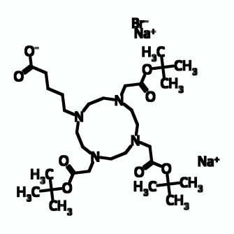 CC(C)(C)OC(=O)CN1CCN(CCCCC(=O)[O-])CCN(CC(=O)OC(C)(C)C)CCN(CC(=O)OC(C)(C)C)CC1.[Br-].[Na+].[Na+]